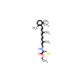 CCOC(=O)[C@H](CS)NC/C=C(C)/C=C/C=C(C)/C=C/C1=C(C)CCCC1(C)C